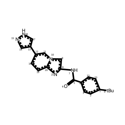 CC(C)(C)c1ccc(C(=O)Nc2cn3cc(-c4cn[nH]c4)ccc3n2)cc1